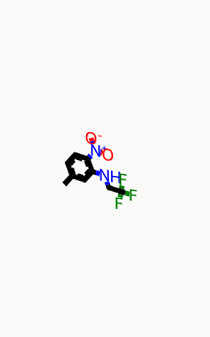 Cc1ccc([N+](=O)[O-])c(NCC(F)(F)F)c1